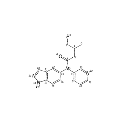 CC(CF)CC(=O)N(c1cccnc1)c1ccc2[nH]ncc2c1